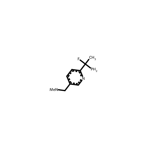 CNCc1ccc(C(C)(F)P)nc1